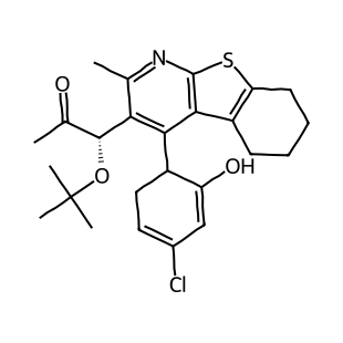 CC(=O)[C@@H](OC(C)(C)C)c1c(C)nc2sc3c(c2c1C1CC=C(Cl)C=C1O)CCCC3